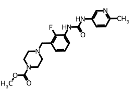 COC(=O)N1CCN(Cc2cccc(NC(=O)Nc3ccc(C)nc3)c2F)CC1